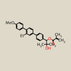 C=C(C)C(=O)OC(c1ccc(-c2ccc(-c3ccc(OC)cc3)c(CC)c2)cc1)C(C)(C)O